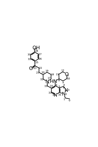 CCn1ncc2c(NC3CCOCC3)c(CN3CCCC(CCC(=O)c4ccc(O)cc4)C3)cnc21